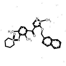 Cc1ccc(C(=O)c2cnn(C)c2OCc2ccc3ccccc3c2)c(C)c1N=S1(=O)CCCCC1